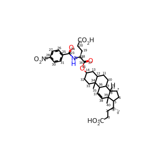 C[C@H](CCC(=O)O)C1CC[C@H]2C3CCC4CC(OC(=O)[C@H](CCC(=O)O)NC(=O)c5ccc([N+](=O)[O-])cc5)CCC4(C)C3C=CC12C